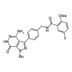 CCC(C)n1nc(-c2ccc(CNC(=O)c3cc(F)ccc3OC)cc2)c2c(N)n[nH]c(=O)c21